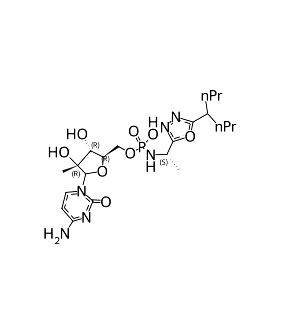 CCCC(CCC)c1nnc([C@H](C)NP(=O)(O)OC[C@H]2OC(n3ccc(N)nc3=O)[C@](C)(O)[C@@H]2O)o1